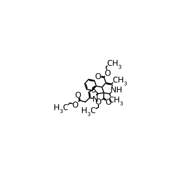 CCOC(=O)Cc1csc(C2(C(=O)OCC)C(C)NC(C)=C(C(=O)OCC)C2c2ccccc2)n1